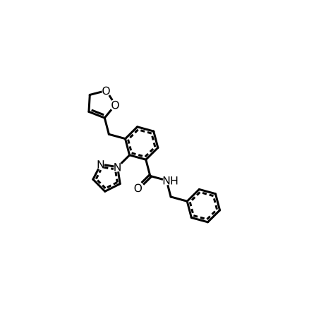 O=C(NCc1ccccc1)c1cccc(CC2=CCOO2)c1-n1cccn1